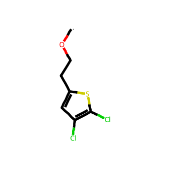 [CH2]OCCc1cc(Cl)c(Cl)s1